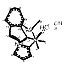 C[SiH](C)[Zr]([CH3])([CH3])([CH3])([c]1ccc[pH]1)[CH]1C=Cc2ccccc21.Cl.Cl